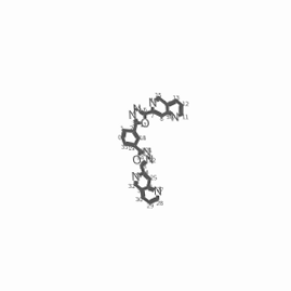 c1cc(-c2nnc(-c3cc4ncccc4cn3)o2)cc(-c2nnc(-c3cc4ncccc4cn3)o2)c1